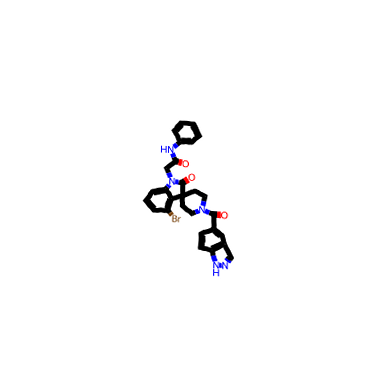 O=C(CN1C(=O)C2(CCN(C(=O)c3ccc4[nH]ncc4c3)CC2)c2c(Br)cccc21)Nc1ccccc1